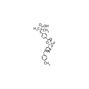 Cc1ccc(Cn2cc(C(OC(=O)c3ccc(SC(C)(C)C(=O)O)cc3)C(F)(F)F)nn2)cc1